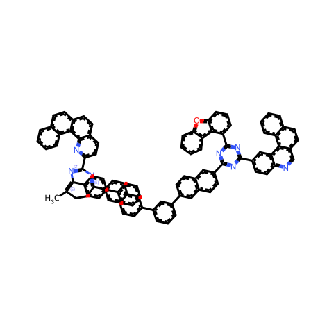 C\C1=C(c2ccc(-c3ccccc3)cc2)/N=C(c2ccc3ccc4ccc5ccccc5c4c3n2)\N=C(\c2ccc3cc(-c4cccc(-c5ccc6cc(-c7nc(-c8ccc9ncc%10ccc%11ccccc%11c%10c9c8)nc(-c8cccc9oc%10ccccc%10c89)n7)ccc6c5)c4)ccc3c2)CC1